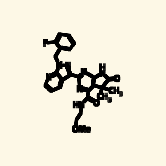 COCCNC(=O)c1nc(-c2nn(Cc3ccccc3F)c3ncccc23)nc2c1C(C)(C)C(=O)N2